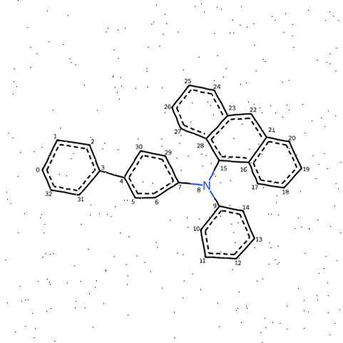 c1ccc(-c2ccc(N(c3ccccc3)c3c4ccccc4cc4ccccc34)cc2)cc1